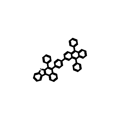 c1ccc(-c2c3ccccc3c(-c3ccccc3)c3cc(-c4ccc(-c5c(-c6ccccc6)c6sc7ccccc7c6c6ccccc56)cc4)ccc23)cc1